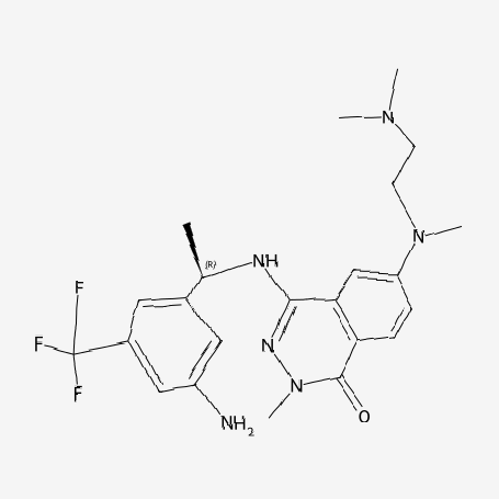 C[C@@H](Nc1nn(C)c(=O)c2ccc(N(C)CCN(C)C)cc12)c1cc(N)cc(C(F)(F)F)c1